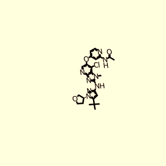 CC(=O)Nc1cc(Oc2cnc3nc(Nc4cc(C(C)(C)C)n([C@@H]5CCOC5)n4)n(C)c3c2Cl)ccn1